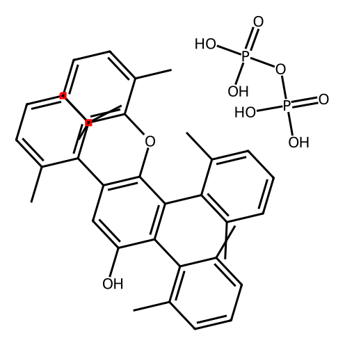 Cc1cccc(C)c1Oc1c(-c2c(C)cccc2C)cc(O)c(-c2c(C)cccc2C)c1-c1c(C)cccc1C.O=P(O)(O)OP(=O)(O)O